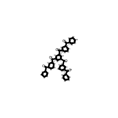 O=C(c1ccccc1)c1cccc(C(=O)c2cc(C(=O)c3cccc(C(=O)c4ccccc4)c3)cc(C(=O)c3cccc(C(=O)c4ccccc4)c3)c2)c1